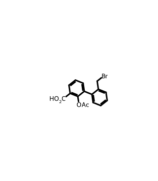 CC(=O)Oc1c(C(=O)O)cccc1-c1ccccc1CBr